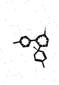 CC1=CC[C@](C)(c2ccc(I)cc2-c2ccc(C)cc2)C=C1